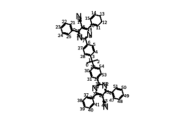 CC(C)(c1ccc(-c2nc(C3=CCCC=C3)c(C#N)c(-c3ccccc3)n2)cc1)c1ccc(-c2nc(-c3ccccc3)c(C#N)c(-c3ccccc3)n2)cc1